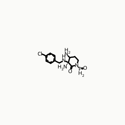 NC1CCN([PH2]=O)C(=O)[C@@]1(N)NCc1ccc(Cl)cc1